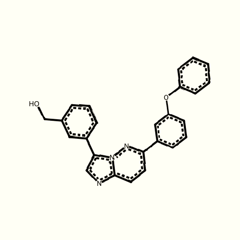 OCc1cccc(-c2cnc3ccc(-c4cccc(Oc5ccccc5)c4)nn23)c1